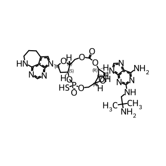 CC(C)(N)CNc1nc(N)c2ncn([C@@H]3O[C@@H]4COP(=O)(S)O[C@H]5C[C@H](n6cc7c8c(ncnc86)NCCC7)O[C@@H]5COC(=O)O[C@@H]3[C@@H]4O)c2n1